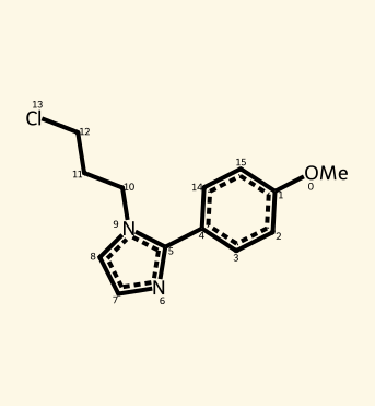 COc1ccc(-c2nccn2CCCCl)cc1